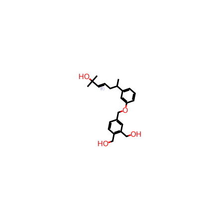 CC(C/C=C/C(C)(C)O)c1cccc(OCc2ccc(CO)c(CO)c2)c1